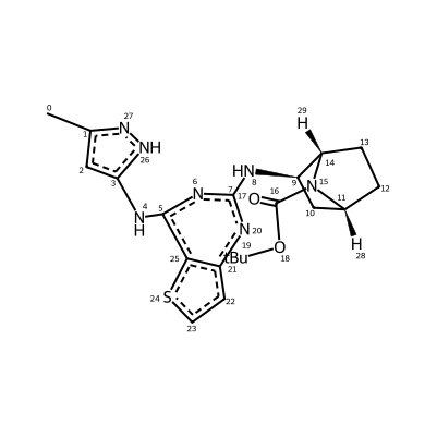 Cc1cc(Nc2nc(N[C@@H]3C[C@H]4CC[C@@H]3N4C(=O)OC(C)(C)C)nc3ccsc23)[nH]n1